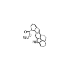 CC(C)(C)OC(=O)C1C=CC=C2C=c3c4c5c6c([nH]c5cc3=C21)=CCCC=6CC4